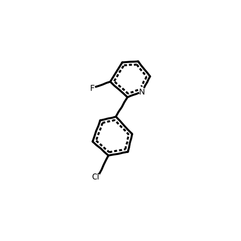 Fc1cccnc1-c1ccc(Cl)cc1